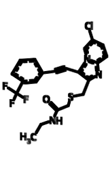 CCNC(=O)CSCc1nc2ccc(Cl)cn2c1C#Cc1cccc(C(F)(F)F)c1